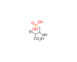 CCCC(CP(=O)(O)O)C(CC)C(=O)OCC